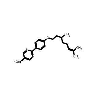 CCCCCCCCc1cnc(-c2ccc(OCCC(C)CCC=C(C)C)cc2)nc1